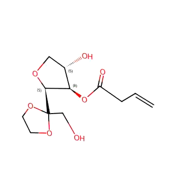 C=CCC(=O)O[C@@H]1[C@@H](O)CO[C@@H]1C1(CO)OCCO1